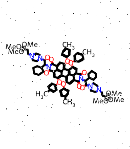 CO[Si](CCN1CCN(C(=O)C(C2CCCCC2)N2C(=O)c3cc(Oc4ccc(C)cc4)c4c5c(Oc6ccc(C)cc6)cc6c7c(cc(Oc8ccc(C)cc8)c(c8c(Oc9ccc(C)cc9)cc(c3c48)C2=O)c75)C(=O)N(C(C(=O)N2CCN(CC[Si](OC)(OC)OC)CC2)C2CCCCC2)C6=O)CC1)(OC)OC